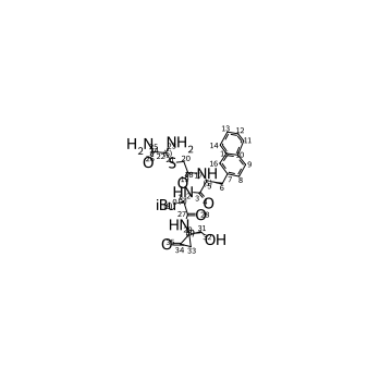 CC[C@H](C)[C@H](NC(=O)[C@H](Cc1ccc2ccccc2c1)NC(=O)CS[C@H](N)C(N)=O)C(=O)N[C@]1(CO)CC1=O